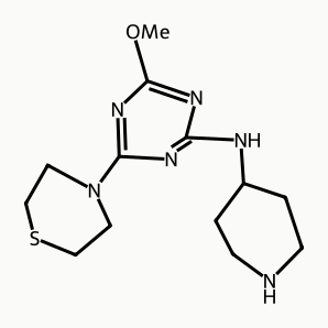 COc1nc(NC2CCNCC2)nc(N2CCSCC2)n1